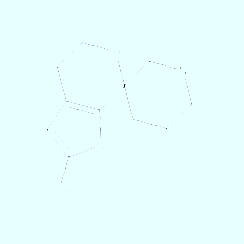 Cc1cc2c(s1)C1(CCCNC1)OCC2